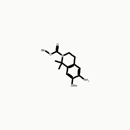 COc1cc2c(cc1N)CCN(C(=O)OC(C)(C)C)C2(C)C